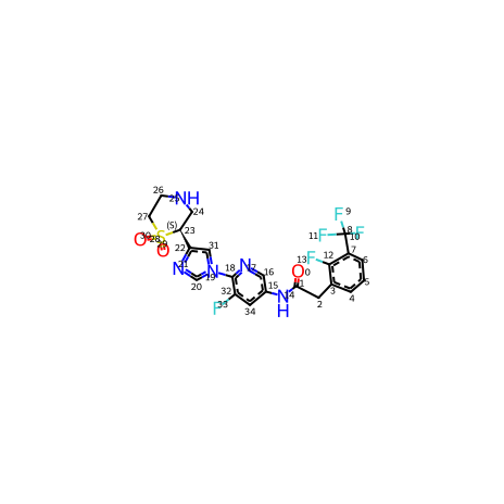 O=C(Cc1cccc(C(F)(F)F)c1F)Nc1cnc(-n2cnc([C@@H]3CNCCS3(=O)=O)c2)c(F)c1